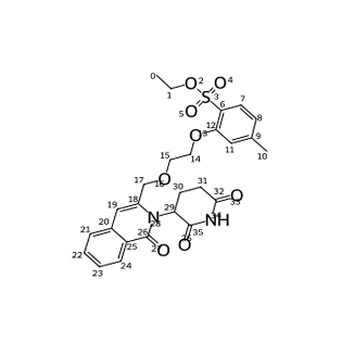 CCOS(=O)(=O)c1ccc(C)cc1OCCOCc1cc2ccccc2c(=O)n1C1CCC(=O)NC1=O